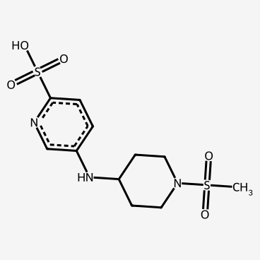 CS(=O)(=O)N1CCC(Nc2ccc(S(=O)(=O)O)nc2)CC1